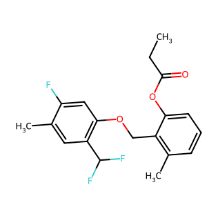 CCC(=O)Oc1cccc(C)c1COc1cc(F)c(C)cc1C(F)F